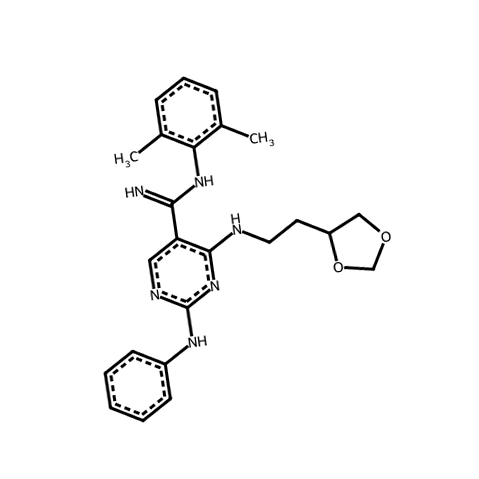 Cc1cccc(C)c1NC(=N)c1cnc(Nc2ccccc2)nc1NCCC1COCO1